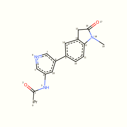 CC(C)C(=O)Nc1cncc(-c2ccc3c(c2)CC(=O)N3C)c1